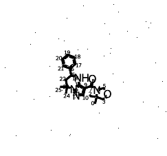 CC1(C)COCN1C(=O)c1cnn2c1NC(c1ccccc1)CC2(C)C